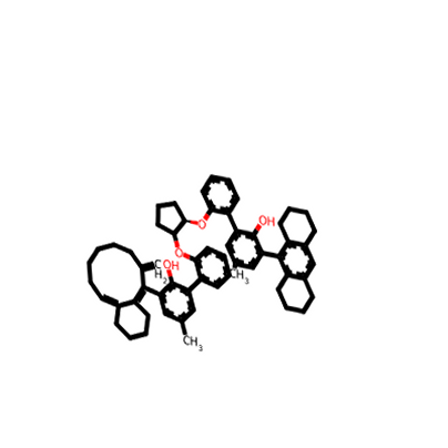 C=C1CCCCC/C=C2/CCCC/C2=C/1c1cc(C)cc(-c2ccccc2OC2CCC[C@H]2Oc2ccccc2-c2cc(C)cc(-c3c4c(cc5c3CCCC5)CCCC4)c2O)c1O